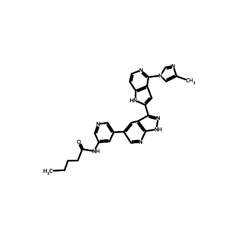 CCCCC(=O)Nc1cncc(-c2cnc3[nH]nc(-c4cc5c(-n6cnc(C)c6)nccc5[nH]4)c3c2)c1